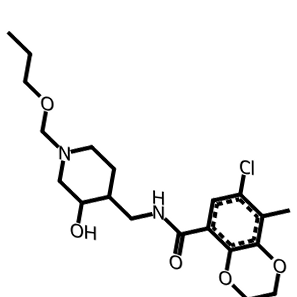 CCCOCN1CCC(CNC(=O)c2cc(Cl)c(C)c3c2OCCO3)C(O)C1